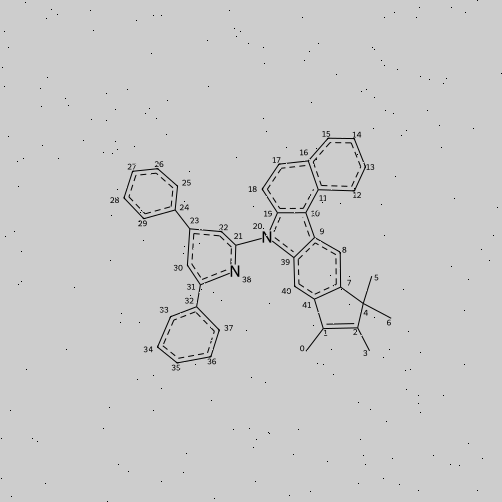 CC1=C(C)C(C)(C)c2cc3c4c5ccccc5ccc4n(-c4cc(-c5ccccc5)cc(-c5ccccc5)n4)c3cc21